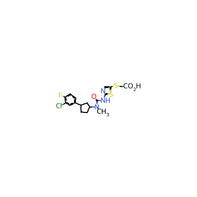 CN(C(=O)Nc1ncc(SCC(=O)O)s1)C1CCC(c2ccc(F)c(Cl)c2)C1